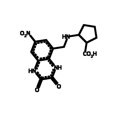 O=C(O)C1CCCC1NCc1cc([N+](=O)[O-])cc2[nH]c(=O)c(=O)[nH]c12